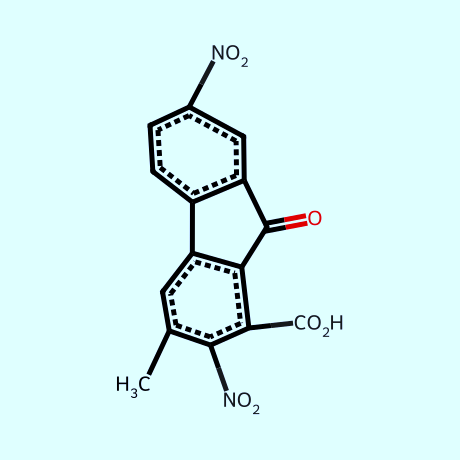 Cc1cc2c(c(C(=O)O)c1[N+](=O)[O-])C(=O)c1cc([N+](=O)[O-])ccc1-2